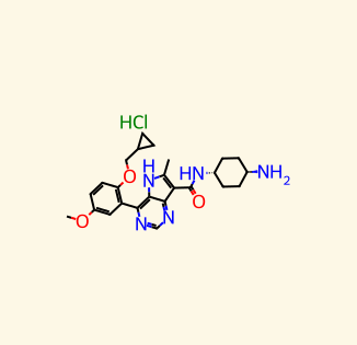 COc1ccc(OCC2CC2)c(-c2ncnc3c(C(=O)N[C@H]4CC[C@H](N)CC4)c(C)[nH]c23)c1.Cl